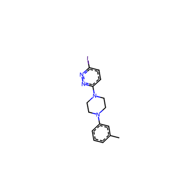 Cc1cccc(N2CCN(c3ccc(I)nn3)CC2)c1